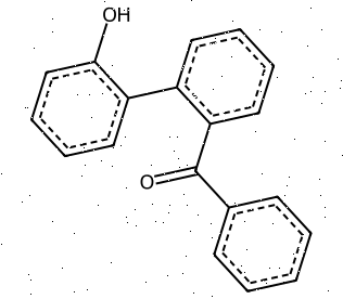 O=C(c1ccccc1)c1ccccc1-c1ccccc1O